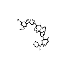 COc1cc(F)cc([C@H](O)CNC(=O)[C@H](C)N2CCn3cc(-c4nc(NC5CCOCC5)ncc4C)cc3C2=O)c1